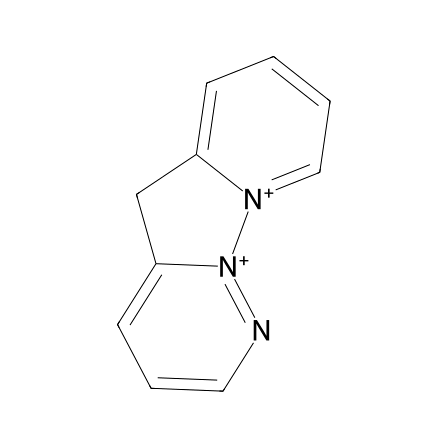 c1cc[n+]2c(c1)Cc1cccn[n+]1-2